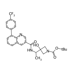 CC(NC(=O)c1cnc2c(-c3ccc(C(F)(F)F)cc3)cccc2c1)C1(O)CN(C(=O)OC(C)(C)C)C1